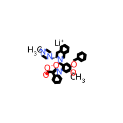 COc1cc(-n2cc(C(=O)[O-])c3ccccc32)c(C(=O)N2Cc3ccccc3C[C@H]2CN2CCN(C)CC2)cc1OCc1ccccc1.[Li+]